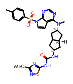 COc1nsc(NC(=O)N[C@H]2CC3C[C@H](N(C)c4ncnc5c4ccn5S(=O)(=O)c4ccc(C)cc4)C[C@H]3C2)n1